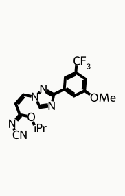 COc1cc(-c2ncn(/C=C\C(=N\C#N)OC(C)C)n2)cc(C(F)(F)F)c1